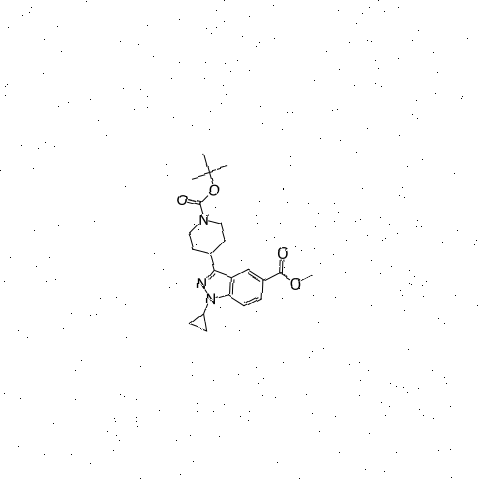 COC(=O)c1ccc2c(c1)c(C1CCN(C(=O)OC(C)(C)C)CC1)nn2C1CC1